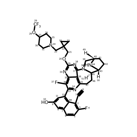 C#Cc1c(F)ccc2cc(O)cc(-c3nc4c5c(nc(OCC6(CN7CCC(OC(F)(F)F)CC7)CC6)nc5c3F)N3C[C@@H]5CC[C@@H](N5)[C@H]3CC4)c12